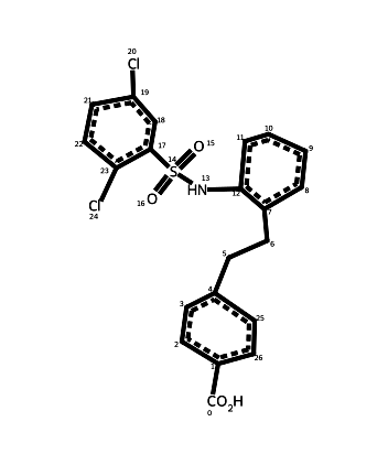 O=C(O)c1ccc(CCc2ccccc2NS(=O)(=O)c2cc(Cl)ccc2Cl)cc1